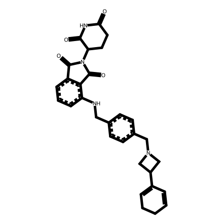 O=C1CCC(N2C(=O)c3cccc(NCc4ccc(CN5CC(C6=CCCC=C6)C5)cc4)c3C2=O)C(=O)N1